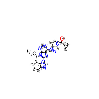 CCn1c(-n2cnc3c2CCCC3)nc2c(N[C@H]3CCN(C(=O)C4CC4)C3)ncnc21